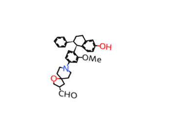 COc1cc(N2CCC3(CC2)C[C@@H](C=O)CO3)ccc1[C@@H]1c2ccc(O)cc2CC[C@@H]1c1ccccc1